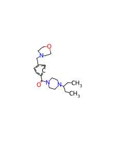 CCC(CC)N1CCN(C(=O)c2ccc(CN3CCOCC3)cc2)CC1